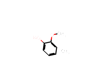 C.COc1ccccc1O